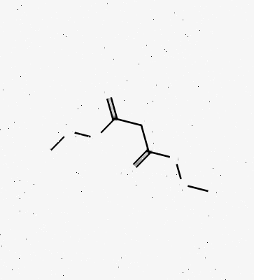 COOC(=O)CC(=O)OOC